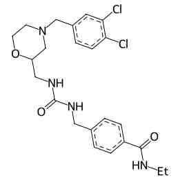 CCNC(=O)c1ccc(CNC(=O)NCC2CN(Cc3ccc(Cl)c(Cl)c3)CCO2)cc1